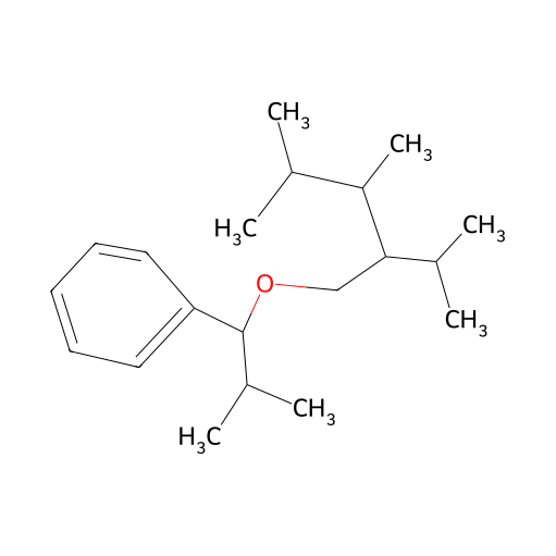 CC(C)C(OCC(C(C)C)C(C)C(C)C)c1ccccc1